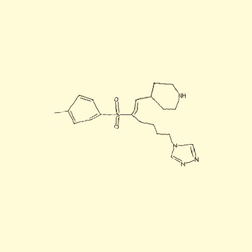 Cc1ccc(S(=O)(=O)/C(=C/C2CCNCC2)CCCCn2cnnc2)cc1